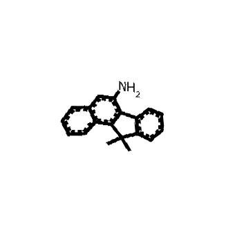 CC1(C)c2ccccc2-c2c(N)cc3ccccc3c21